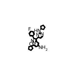 Nc1cc(C2(Cl)CCCC2)n2nc(-c3ccc(F)cc3)c(-c3ccnc(NC4CCCC4)n3)c2c1